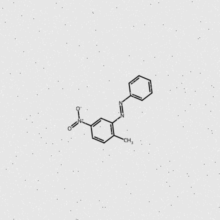 Cc1ccc([N+](=O)[O-])cc1N=Nc1ccccc1